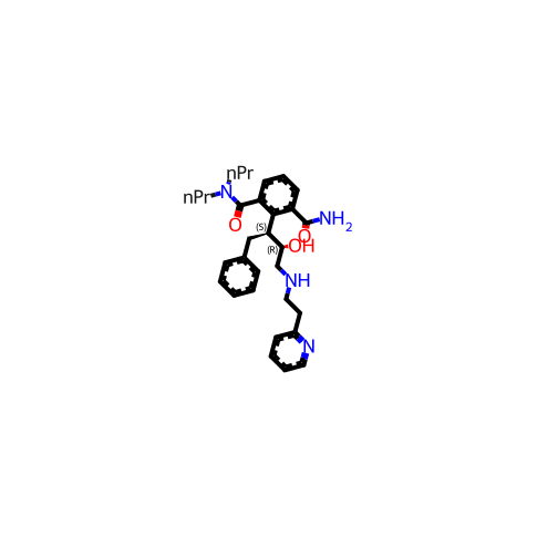 CCCN(CCC)C(=O)c1cccc(C(N)=O)c1[C@H](Cc1ccccc1)[C@@H](O)CNCCc1ccccn1